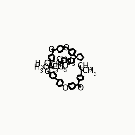 CCC(C)c1ccc(C(=O)c2ccc(Oc3ccc(-c4ccc(OC(C)(CC)C(C)(C)c5ccc(C(=O)c6ccc(Oc7ccc(C8(c9ccc(OC(C)(C)CC)cc9)CCCCC8)cc7)cc6)cc5)cc4)cc3)cc2)cc1